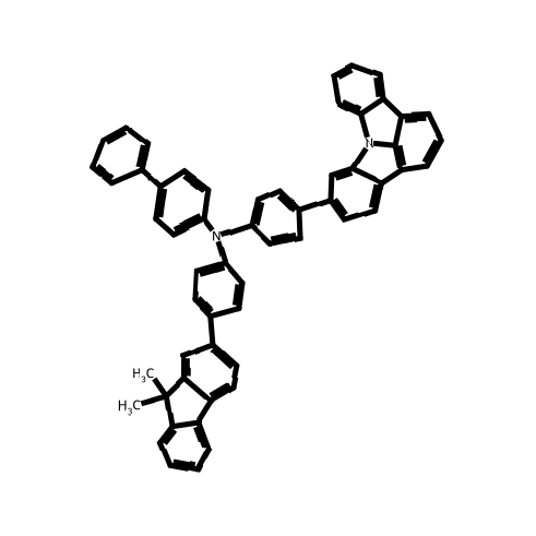 CC1(C)c2ccccc2-c2ccc(-c3ccc(N(c4ccc(-c5ccccc5)cc4)c4ccc(-c5ccc6c7cccc8c9ccccc9n(c6c5)c87)cc4)cc3)cc21